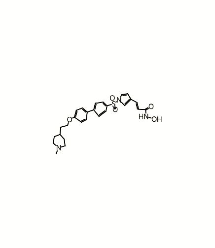 CN1CCC(CCOc2ccc(-c3ccc(S(=O)(=O)n4ccc(C=CC(=O)NO)c4)cc3)cc2)CC1